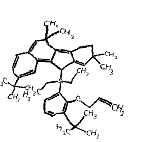 C=CCOc1c(C(C)(C)C)cccc1[Si](CC)(CC)C1C2=CC(C)(C)CCC2=C2C1=c1cc(C(C)(C)C)ccc1=CC2(C)C